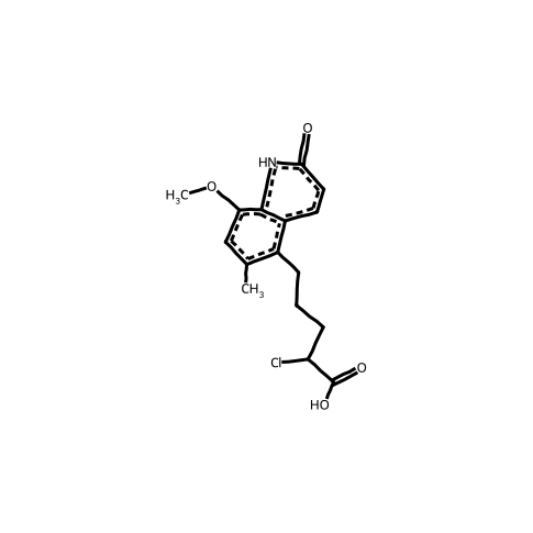 COc1cc(C)c(CCCC(Cl)C(=O)O)c2ccc(=O)[nH]c12